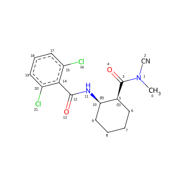 CN(C#N)C(=O)[C@H]1CCCC[C@H]1NC(=O)c1c(Cl)cccc1Cl